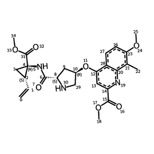 C=C[C@@H]1C[C@]1(NC(=O)[C@@H]1C[C@@H](Oc2cc(C(=O)OC)nc3c(C)c(OC)ccc23)CN1)C(=O)OC